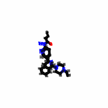 CCCC(=O)Nc1ccc(-c2cc3ccccc3c(N3CCN(CC)CC3)n2)cn1